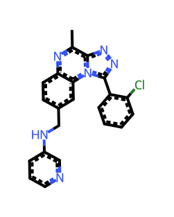 Cc1nc2ccc(CNc3cccnc3)cc2n2c(-c3ccccc3Cl)nnc12